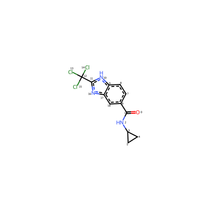 O=C(NC1CC1)c1ccc2[nH]c(C(Cl)(Cl)Cl)nc2c1